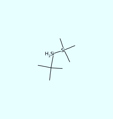 CC(C)(C)[SiH2][Si](C)(C)C